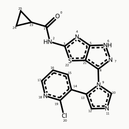 O=C(Nc1nc2[nH]nc(-n3cncc3-c3cccnc3Cl)c2s1)C1CC1